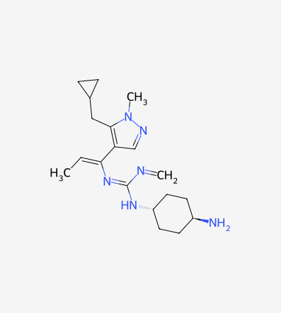 C=N/C(=N\C(=C/C)c1cnn(C)c1CC1CC1)N[C@H]1CC[C@H](N)CC1